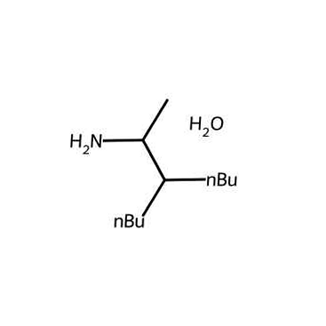 CCCCC(CCCC)C(C)N.O